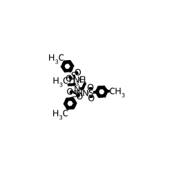 CCC(NS(=O)(=O)c1ccc(C)cc1)N(C(CC)NS(=O)(=O)c1ccc(C)cc1)S(=O)(=O)c1ccc(C)cc1